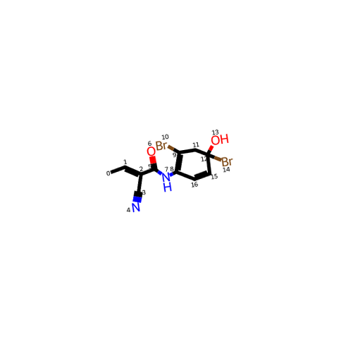 CC=C(C#N)C(=O)NC1=C(Br)CC(O)(Br)C=C1